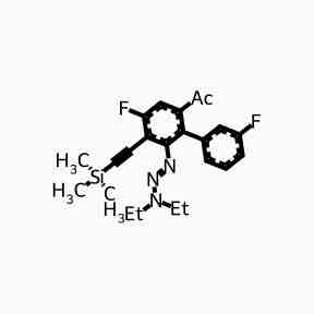 CCN(CC)N=Nc1c(C#C[Si](C)(C)C)c(F)cc(C(C)=O)c1-c1cccc(F)c1